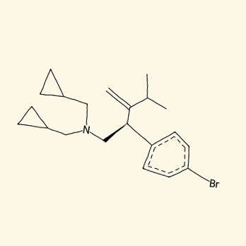 C=C(C(C)C)[C@H](CN(CC1CC1)CC1CC1)c1ccc(Br)cc1